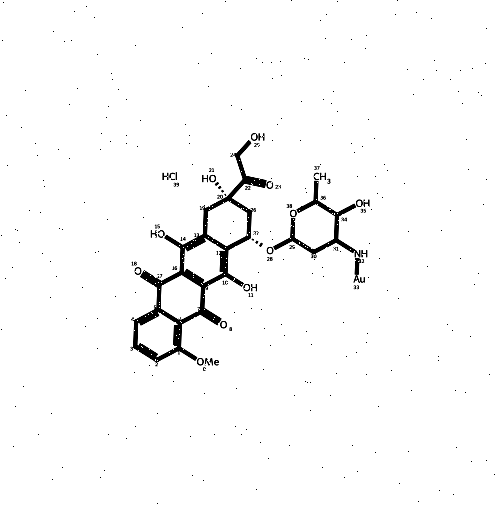 COc1cccc2c1C(=O)c1c(O)c3c(c(O)c1C2=O)C[C@@](O)(C(=O)CO)C[C@@H]3OC1CC([NH][Au])C(O)C(C)O1.Cl